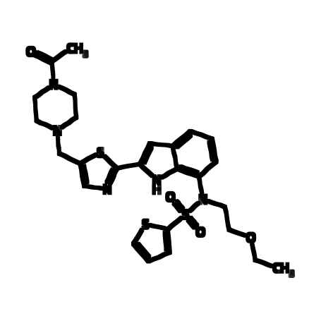 CCOCCN(c1cccc2cc(-c3ncc(CN4CCN(C(C)=O)CC4)s3)[nH]c12)S(=O)(=O)c1cccs1